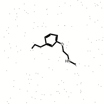 CCCc1cccc(OCCNI)c1